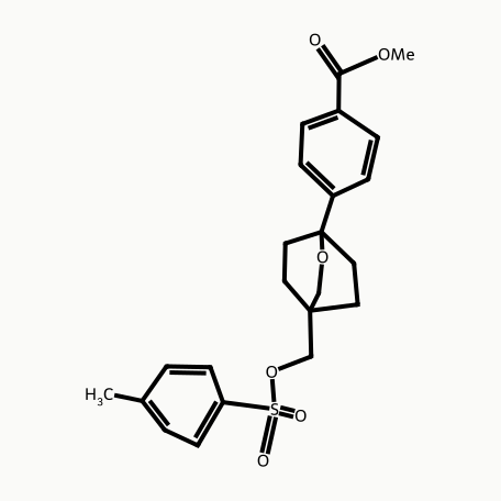 COC(=O)c1ccc(C23CCC(COS(=O)(=O)c4ccc(C)cc4)(CC2)CO3)cc1